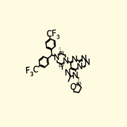 Cc1nc2c(N3C[C@@H](C)N(C(c4ccc(C(F)(F)F)cc4)c4ccc(C(F)(F)F)cc4)C[C@@H]3C)nc3nncn3c2n1C[C@@H]1CCCO1